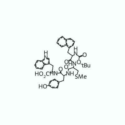 CSCC(NC(=O)C(Cc1cccc2ccccc12)NC(=O)OC(C)(C)C)C(=O)NC(Cc1ccc(O)cc1)C(=O)NC(Cc1c[nH]c2ccccc12)C(=O)O